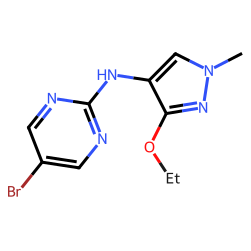 CCOc1nn(C)cc1Nc1ncc(Br)cn1